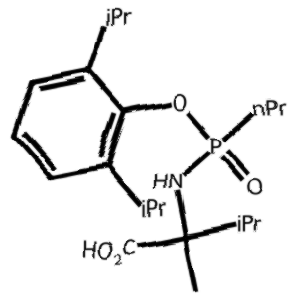 CCCP(=O)(NC(C)(C(=O)O)C(C)C)Oc1c(C(C)C)cccc1C(C)C